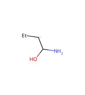 CC[CH]C(N)O